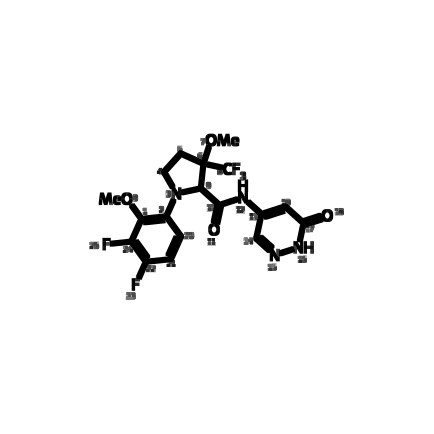 COc1c(N2CCC(OC)(C(F)(F)F)C2C(=O)Nc2cn[nH]c(=O)c2)ccc(F)c1F